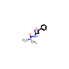 CN(C)C(=O)Nc1cc(-c2ccccc2)on1